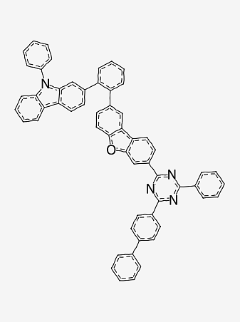 c1ccc(-c2ccc(-c3nc(-c4ccccc4)nc(-c4ccc5c(c4)oc4ccc(-c6ccccc6-c6ccc7c8ccccc8n(-c8ccccc8)c7c6)cc45)n3)cc2)cc1